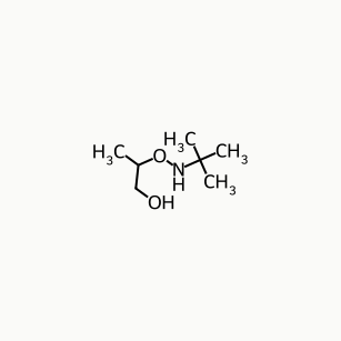 CC(CO)ONC(C)(C)C